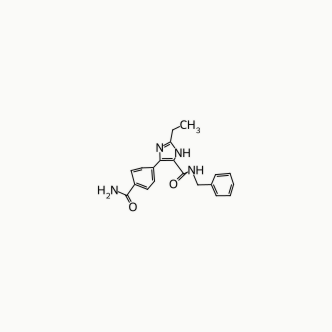 CCc1nc(-c2ccc(C(N)=O)cc2)c(C(=O)NCc2ccccc2)[nH]1